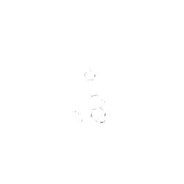 COc1ccc(C(N)=O)cc1NC(=O)Cn1nc(C(F)(F)F)c2c1CCCC2